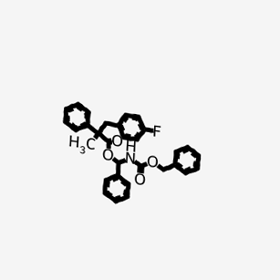 CC(Cc1ccc(F)cc1)(C(=O)OC(NC(=O)OCc1ccccc1)c1ccccc1)c1ccccc1